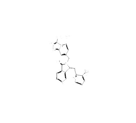 CCOC(=O)c1nnc2cc(CN3C(=O)c4ccccc4C3Cc3ncccc3Br)ccn12